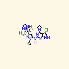 CC(C)(c1cc(Nc2nc(N3CCC3)c3c(Cl)c[nH]c3n2)n(C2CC2)n1)n1nccn1